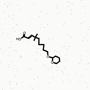 CC(C)(C=CC(=O)O)CCCCCOC1CCCCO1